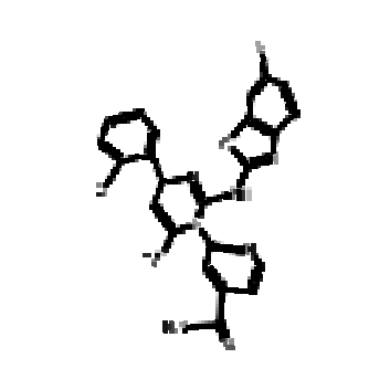 CC1=CC(c2ccccc2Cl)N=C(Nc2nc3ccc(F)cc3o2)N1c1cc(C(N)=O)ccn1